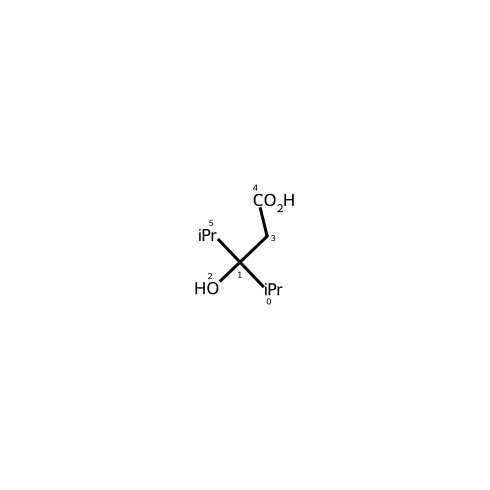 CC(C)C(O)(CC(=O)O)C(C)C